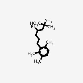 CCC(CCCc1c(C)ccc(C)c1C)CC(C)(N)C(=O)O